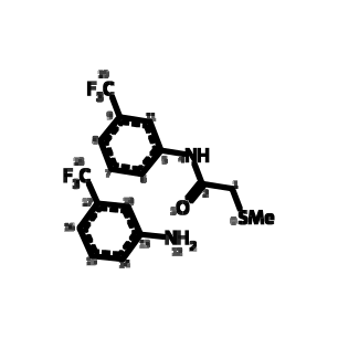 CSCC(=O)Nc1cccc(C(F)(F)F)c1.Nc1cccc(C(F)(F)F)c1